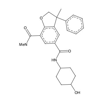 CNC(=O)c1cc(C(=O)NC2CCC(O)CC2)cc2c1OCC2(C)c1ccccc1